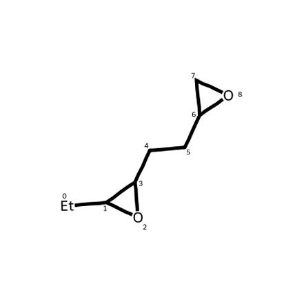 CCC1OC1CCC1CO1